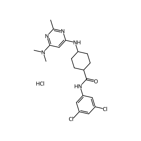 Cc1nc(NC2CCC(C(=O)Nc3cc(Cl)cc(Cl)c3)CC2)cc(N(C)C)n1.Cl